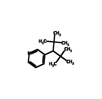 CC(C)(C)C(c1cccnc1)C(C)(C)C